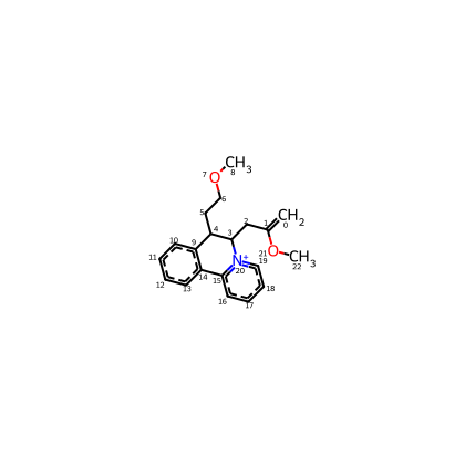 C=C(CC1C(CCOC)c2ccccc2-c2cccc[n+]21)OC